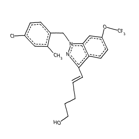 Cc1cc(Cl)ccc1Cn1nc(/C=C/CCCO)c2ccc(OC(F)(F)F)cc21